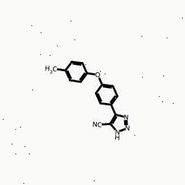 Cc1ccc(Oc2ccc(-c3nn[nH]c3C#N)cc2)cc1